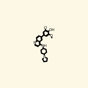 COc1cc(-c2ccc3nc[c]c(NC4CCC(N5CCCC5)CC4)c3c2)cc(Cl)c1O